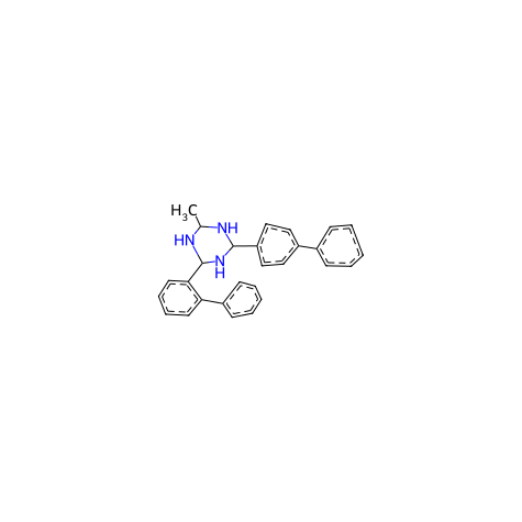 CC1NC(c2ccc(-c3ccccc3)cc2)NC(c2ccccc2-c2ccccc2)N1